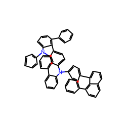 c1ccc(-c2ccccc2N(c2ccc(-c3cccc4cccc(-c5ccccc5)c34)cc2)c2ccc3c4c(-c5ccccc5)cccc4n(-c4ccccc4)c3c2)cc1